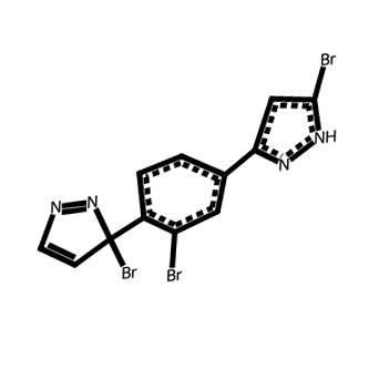 Brc1cc(-c2ccc(C3(Br)C=CN=N3)c(Br)c2)n[nH]1